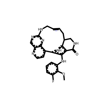 COc1c(F)cccc1Nc1c2[nH]c3c1C(=O)NCC3C/C=C/CNc1ncc3nccc-2c3n1